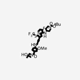 COc1cc(C(=O)N2CC(C)(O)C2)ccc1NCC#Cc1cc2c(N[C@@H]3CCN(C(=O)OC(C)(C)C)C[C@@H]3F)cccn2c1SC(F)(F)F